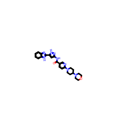 O=C(Nc1cc(-c2nc3ccccc3[nH]2)[nH]n1)c1ccc(N2CCC(N3CCOCC3)CC2)nc1